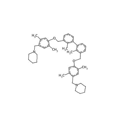 Cc1cc(OCc2cccc(-c3cccc(COc4cc(C)c(CN5CCCCC5)cc4C)c3C)c2C)c(C)cc1CN1CCCCC1